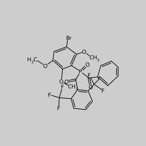 COc1cc(Br)c(OC)c(P(=O)(C(=O)c2ccccc2)C(=O)c2c(C(F)(F)F)cccc2C(F)(F)F)c1OC